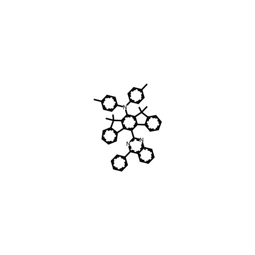 Cc1ccc(N(c2ccc(C)cc2)c2c3c(c(-c4nc(-c5ccccc5)c5ccccc5n4)c4c2C(C)(C)c2ccccc2-4)-c2ccccc2C3(C)C)cc1